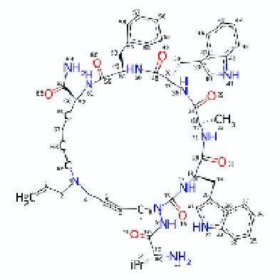 C=CCN1CC#CCN(NC(=O)[C@H](N)C(C)C)C(=O)N[C@H](Cc2c[nH]c3ccccc23)C(=O)N[C@@H](C)C(=O)N[C@@H](Cc2c[nH]c3ccccc23)C(=O)N[C@H](Cc2ccccc2)C(=O)N[C@H](C(N)=O)CCCC1